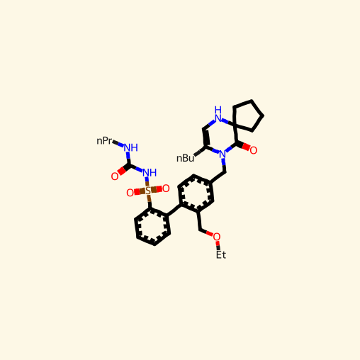 CCCCC1=CNC2(CCCC2)C(=O)N1Cc1ccc(-c2ccccc2S(=O)(=O)NC(=O)NCCC)c(COCC)c1